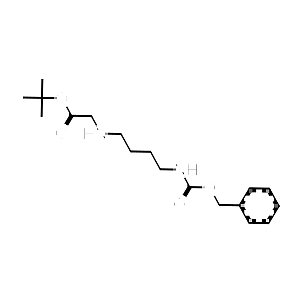 CC(C)(C)OC(=O)CNCCCCNC(=O)OCc1ccccc1